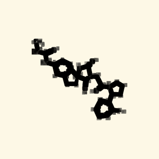 CNC(=O)Nc1ccc2c(c1)CC[C@]21OC(=O)N(CC(=O)N2CCCC2c2ccccc2F)C1=O